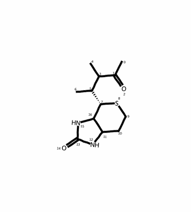 CC(=O)C(C)C(C)[C@@H]1SCCC2NC(=O)NC21